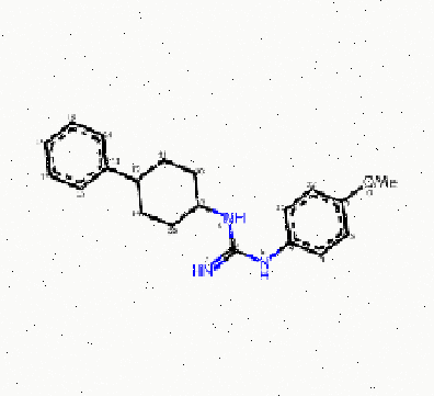 COc1ccc(NC(=N)NC2CCC(c3ccccc3)CC2)cc1